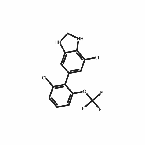 FC(F)(F)Oc1cccc(Cl)c1-c1cc(Cl)c2c(c1)NCN2